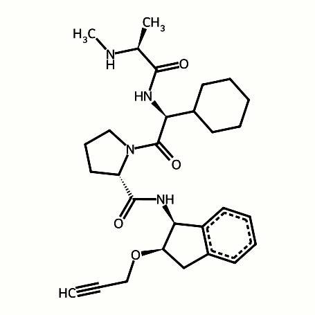 C#CCO[C@@H]1Cc2ccccc2[C@@H]1NC(=O)[C@@H]1CCCN1C(=O)[C@@H](NC(=O)[C@H](C)NC)C1CCCCC1